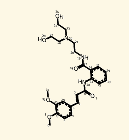 COc1ccc(C=CC(=O)Nc2ccccc2C(=O)NCCN(CCO)CCO)cc1OC